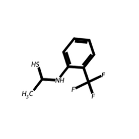 CC(S)Nc1ccccc1C(F)(F)F